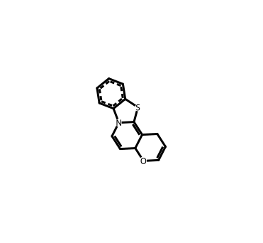 C1=COC2C=CN3C(=C2C1)Sc1ccccc13